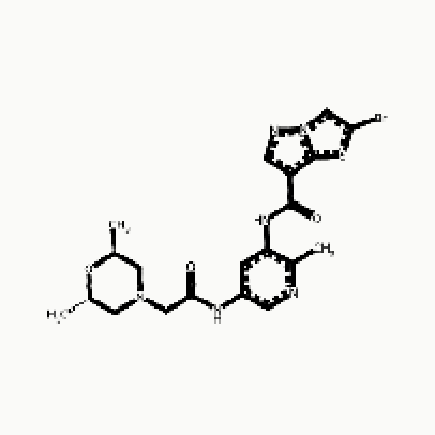 Cc1ncc(NC(=O)CN2C[C@H](C)O[C@@H](C)C2)cc1NC(=O)c1cnn2cc(Br)sc12